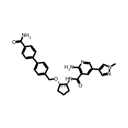 Cn1cc(-c2cnc(N)c(C(=O)N[C@H]3CCC[C@@H]3OCc3ccc(-c4ccc(C(N)=O)cc4)cc3)c2)cn1